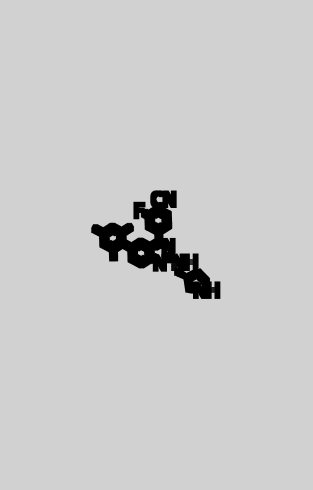 Cc1cc(C)c(-c2ccc3nc(NC[C@H]4CCNC4)nc(-c4ccc(C#N)c(F)c4)c3c2)c(C)c1